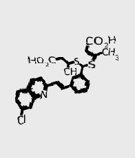 CC(CC(=O)O)SC(SC(C)CC(=O)O)c1cccc(C=Cc2ccc3ccc(Cl)cc3n2)c1